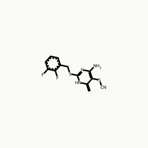 C=C1NC(SCc2cccc(F)c2F)=NC(N)=C1SC#N